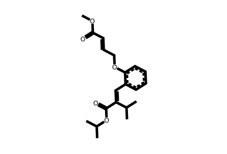 COC(=O)/C=C/COc1ccccc1/C=C(/C(=O)OC(C)C)C(C)C